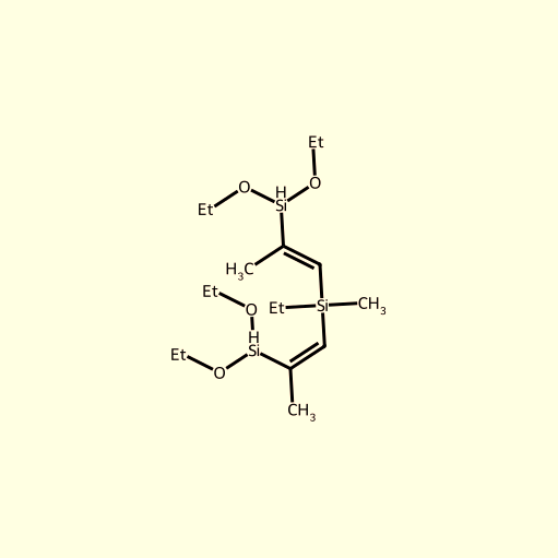 CCO[SiH](OCC)C(C)=C[Si](C)(C=C(C)[SiH](OCC)OCC)CC